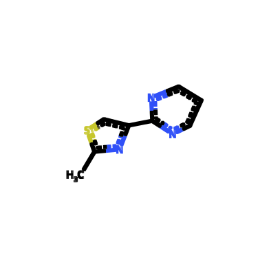 Cc1nc(-c2ncccn2)cs1